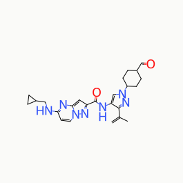 C=C(C)c1nn(C2CCC(C=O)CC2)cc1NC(=O)c1cc2nc(NCC3CC3)ccn2n1